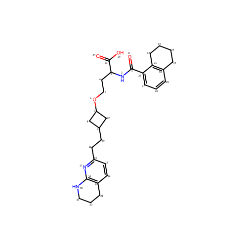 O=C(NC(CCOC1CC(CCc2ccc3c(n2)NCCC3)C1)C(=O)O)c1cccc2c1CCCC2